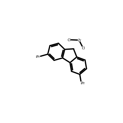 CC(C)c1ccc2c(c1)-c1cc(C(C)C)ccc1[CH]2.[Cl][Zr][Cl]